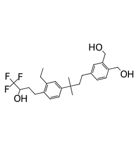 CCc1cc(C(C)(C)CCc2ccc(CO)c(CO)c2)ccc1CCC(O)C(F)(F)F